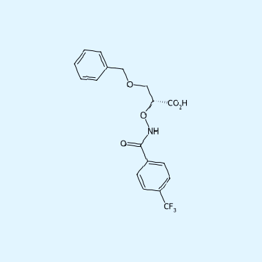 O=C(NO[C@H](COCc1ccccc1)C(=O)O)c1ccc(C(F)(F)F)cc1